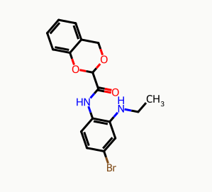 CCNc1cc(Br)ccc1NC(=O)C1OCc2ccccc2O1